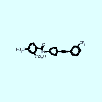 O=C(O)c1ccc(C(=O)Nc2ccc(C#Cc3cccc(C(F)(F)F)c3)cc2)c(C(=O)O)c1